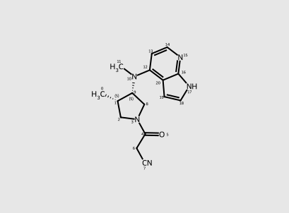 C[C@H]1CN(C(=O)CC#N)C[C@H]1N(C)c1ccnc2[nH]ccc12